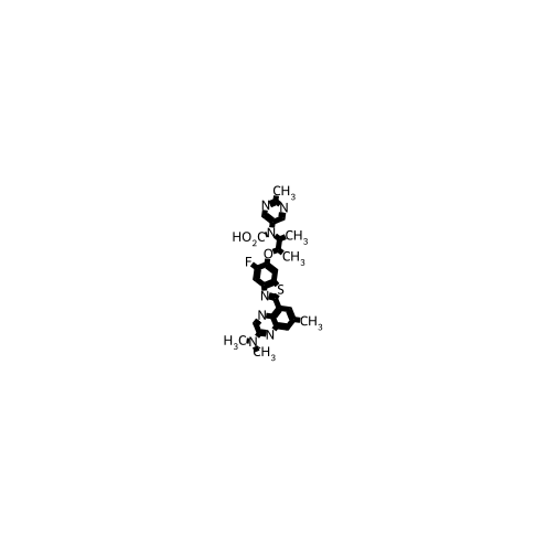 Cc1cc(-c2nc3cc(F)c(OC(C)C(C)N(C(=O)O)c4cnc(C)nc4)cc3s2)c2ncc(N(C)C)nc2c1